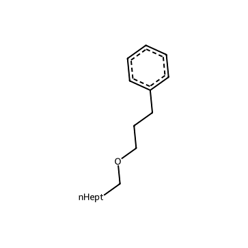 C[CH]CCCCCCOCCCc1ccccc1